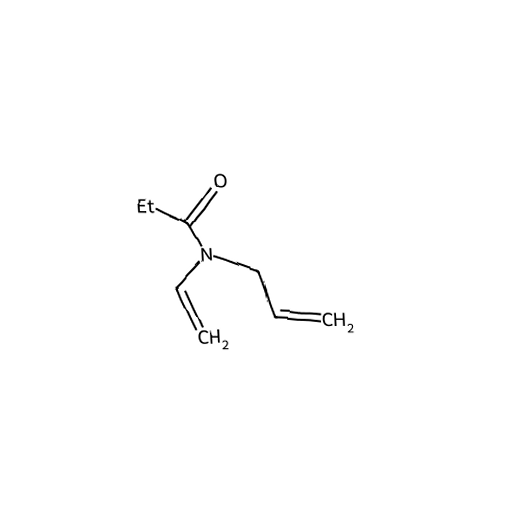 C=CCN(C=C)C(=O)CC